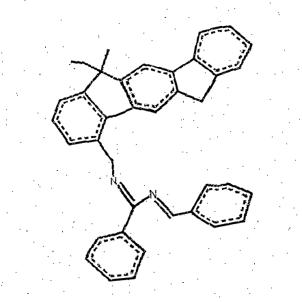 CC1(C)c2cc3c(cc2-c2c(C/N=C(\N=C\c4ccccc4)c4ccccc4)cccc21)Cc1ccccc1-3